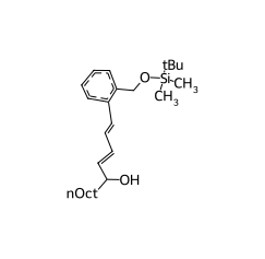 CCCCCCCCC(O)/C=C/C=C/c1ccccc1CO[Si](C)(C)C(C)(C)C